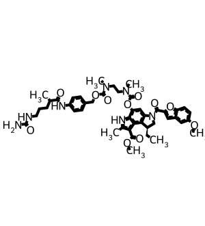 CC[C@@H]1CN(C(=O)c2cc3cc(OC)ccc3o2)c2cc(OC(=O)N(C)CCN(C)C(=O)OCc3ccc(NC(=O)C(C)CCCNC(N)=O)cc3)c3[nH]c(C)c(C(=O)OC)c3c21